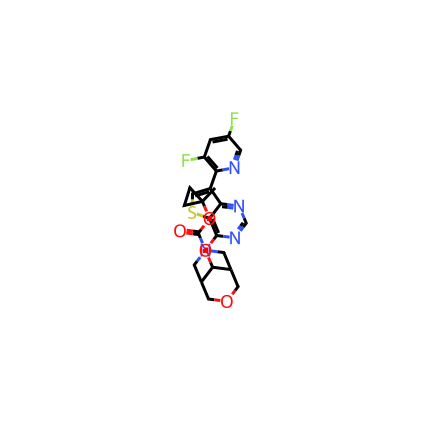 CC1(OC(=O)N2CC3COCC(C2)C3Oc2ncnc3c(-c4ncc(F)cc4F)csc23)CC1